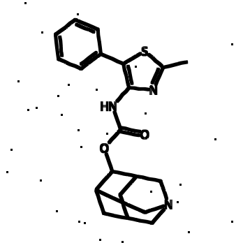 Cc1nc(NC(=O)OC2C3CC4CC2CN(C4)C3)c(-c2ccccc2)s1